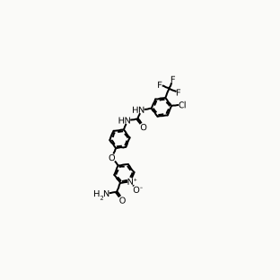 NC(=O)c1cc(Oc2ccc(NC(=O)Nc3ccc(Cl)c(C(F)(F)F)c3)cc2)cc[n+]1[O-]